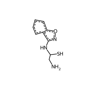 NCC(S)Nc1noc2ccccc12